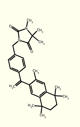 C=C(c1ccc(CN2C(=O)N(C)C(C)(C)C2=O)cc1)c1cc2c(cc1C)C(C)(C)CCC2(C)C